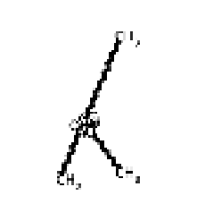 CCCCCCCCCCCCCCCCCC(=O)OC(C(=O)OCCCCCCCCCC)C(=O)OCCCCCCCCCC